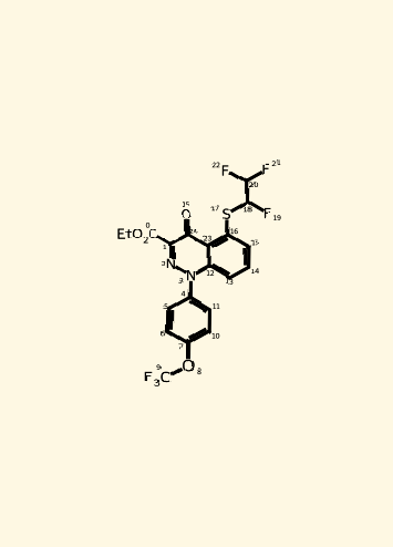 CCOC(=O)c1nn(-c2ccc(OC(F)(F)F)cc2)c2cccc(SC(F)C(F)F)c2c1=O